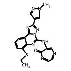 CCSc1cccc2c1nc(Nc1cnccnc1=O)n1nc(-c3cnn(C)c3)nc21